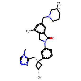 Cn1cnnc1C[C@]1(c2cccc(N3Cc4c(cc(CN5CCC[C@H](C(F)(F)F)C5)cc4C(F)(F)F)C3=O)c2)C[C@H](C#N)C1